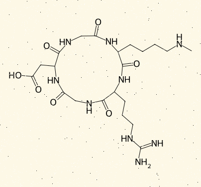 CNCCCCC1NC(=O)CNC(=O)C(CC(=O)O)NC(=O)CNC(=O)C(CCCNC(=N)N)NC1=O